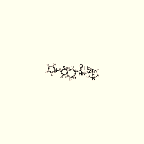 O=C(N[C@H]1CN2CCC1CC2)c1cc2sc(-n3cccc3)cc2cn1